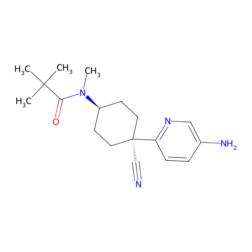 CN(C(=O)C(C)(C)C)[C@H]1CC[C@@](C#N)(c2ccc(N)cn2)CC1